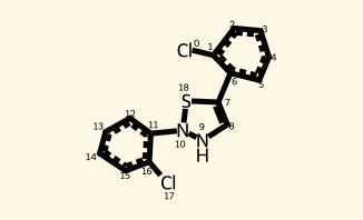 Clc1ccccc1C1=CNN(c2ccccc2Cl)S1